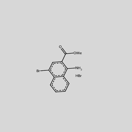 Br.COC(=O)c1cc(Br)c2ccccc2c1N